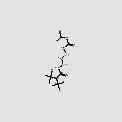 CC(C)OC(=O)OOOOOC(=O)C(C(C)(C)C)C(C)(C)C